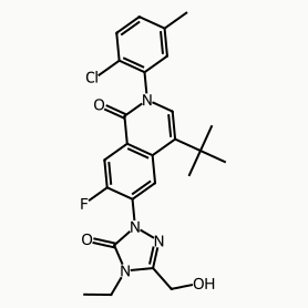 CCn1c(CO)nn(-c2cc3c(C(C)(C)C)cn(-c4cc(C)ccc4Cl)c(=O)c3cc2F)c1=O